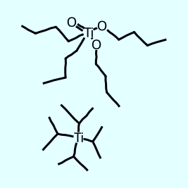 CCCC[O][Ti](=[O])([CH2]CCC)([CH2]CCC)[O]CCCC.C[CH](C)[Ti]([CH](C)C)([CH](C)C)[CH](C)C